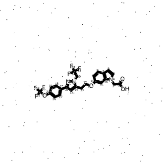 O=C(O)Cn1ccc2ccc(OCCc3cc(-c4ccc(OC(F)(F)F)cc4)nn3CC(F)(F)F)cc21